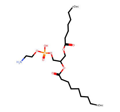 CCCCCCCCCCCCCCCCCC(=O)OC(COC(=O)CCCCCCCCCCCCCCC)COP(=O)(O)OCCN